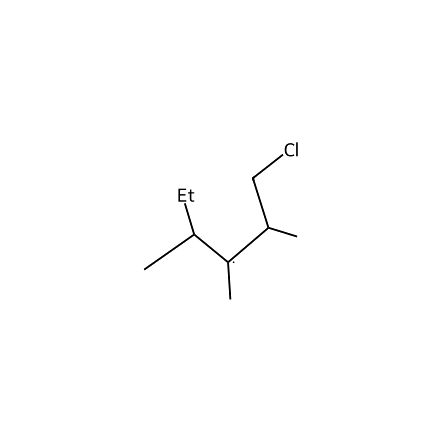 CCC(C)[C](C)C(C)CCl